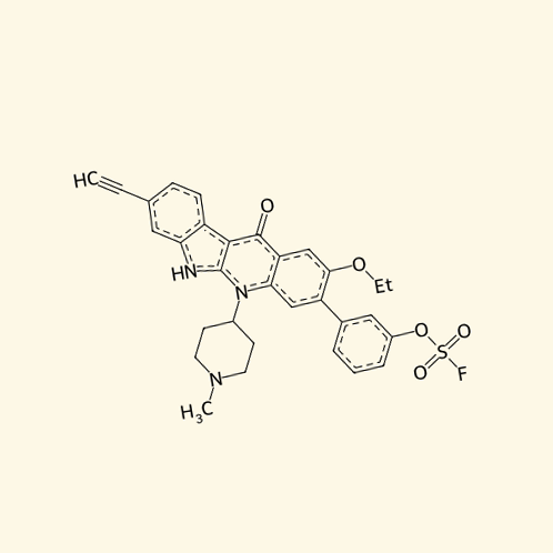 C#Cc1ccc2c(c1)[nH]c1c2c(=O)c2cc(OCC)c(-c3cccc(OS(=O)(=O)F)c3)cc2n1C1CCN(C)CC1